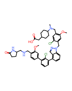 COc1cc(-c2cccc(-c3cccc4c3cnn4Cc3cc(OC)c(CN(C)C4CCC(CC(=O)O)CC4)cc3Cl)c2Cl)ccc1CNCC1CCC(=O)N1